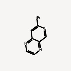 CC(C)c1cc2nccnc2cn1